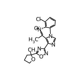 Cc1c2c(-c3noc(C4(C)CCCO4)n3)ncn2c2cccc(Cl)c2[n+]1[O-]